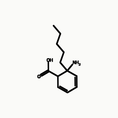 CCCCCC1(N)C=CC=CC1C(=O)O